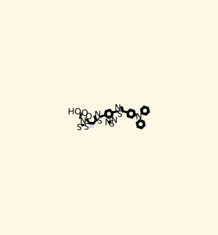 O=C(O)CN1C(=O)/C(=C\c2cnc(-c3ccc(-c4ncc(-c5ccc(N(c6ccccc6)c6ccccc6)cc5)s4)c4nsnc34)s2)SC1=S